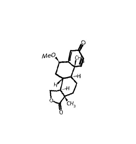 CO[C@@H]1C[C@@H]2[C@H](CC[C@]3(C)C(=O)OC[C@@H]23)[C@@]2(C)C=CC(=O)C=C12